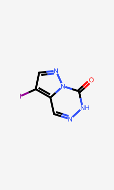 O=c1[nH]ncc2c(I)cnn12